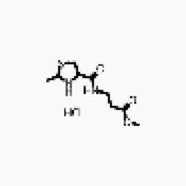 COC(=O)CCNC(=O)C1CSC(C)N1.Cl